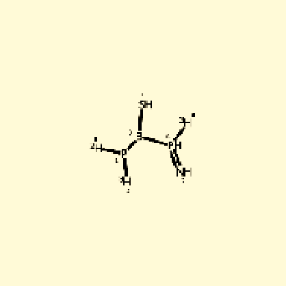 [2H]P([3H])B(S)[PH]([3H])=N